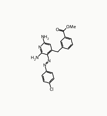 COC(=O)c1cccc(Cc2cc(N)nc(N)c2N=Nc2ccc(Cl)cc2)c1